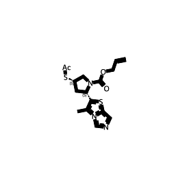 C=CCOC(=O)N1C[C@@H](SC(C)=O)C[C@H]1c1sc2cncn2c1C